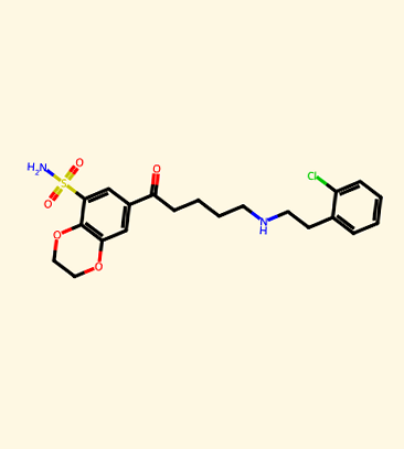 NS(=O)(=O)c1cc(C(=O)CCCCNCCc2ccccc2Cl)cc2c1OCCO2